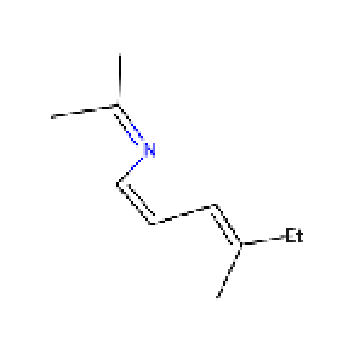 CC/C(C)=C/C=C\N=C(C)C